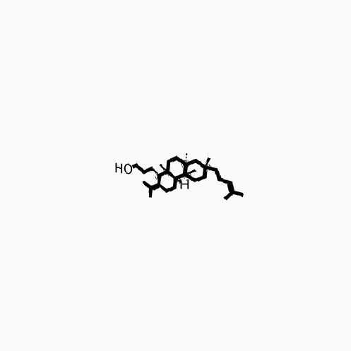 CC(C)=CCC[C@]1(C)CC[C@]2(C)[C@H]3CCC(=C(C)C)[C@@H](CCCO)[C@]3(C)CC[C@@]2(C)C1